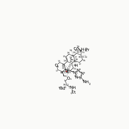 CCN[C@@H](CO[C@H]1[C@H](n2nnc(N)n2)C[C@@]23COC[C@]1(C)[C@@H]2CC[C@H]1C3=CC[C@@]2(C)[C@H](C(=O)O)[C@@](C)([C@H](C)C(C)C)CC[C@]12C)C(C)(C)C